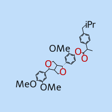 COc1ccc(C2OCC3C2CO[C@H]3c2ccc(OC(=O)C(C)c3ccc(CC(C)C)cc3)c(OC)c2)cc1OC